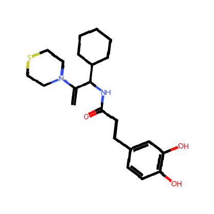 C=C(C(NC(=O)CCc1ccc(O)c(O)c1)C1CCCCC1)N1CCSCC1